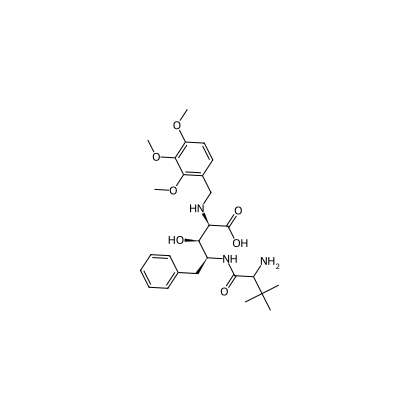 COc1ccc(CN[C@@H](C(=O)O)[C@H](O)[C@H](Cc2ccccc2)NC(=O)C(N)C(C)(C)C)c(OC)c1OC